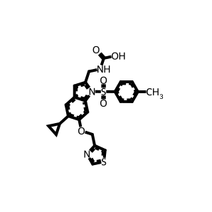 Cc1ccc(S(=O)(=O)n2c(CNC(=O)O)cc3cc(C4CC4)c(OCc4cscn4)cc32)cc1